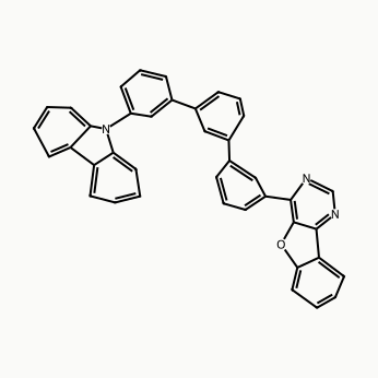 c1cc(-c2cccc(-c3ncnc4c3oc3ccccc34)c2)cc(-c2cccc(-n3c4ccccc4c4ccccc43)c2)c1